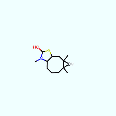 CN1C(O)SC2CC3(C)BC3(C)CCCC21